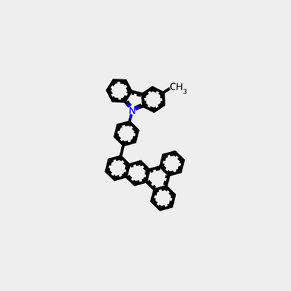 Cc1ccc2c(c1)c1ccccc1n2-c1ccc(-c2cccc3cc4c5ccccc5c5ccccc5c4cc23)cc1